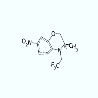 C[C@@H]1COc2cc([N+](=O)[O-])ccc2N1CC(F)(F)F